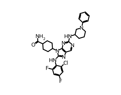 NC(=O)C1CCC(n2c(Nc3c(F)cc(F)cc3Cl)nc3cnc(NC4CCCN(c5ccccc5)C4)nc32)CC1